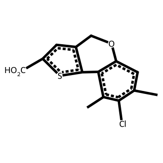 Cc1cc2c(c(C)c1Cl)-c1sc(C(=O)O)cc1CO2